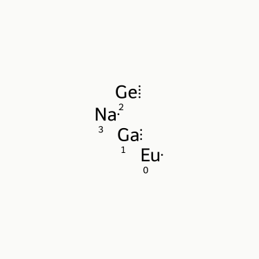 [Eu].[Ga].[Ge].[Na]